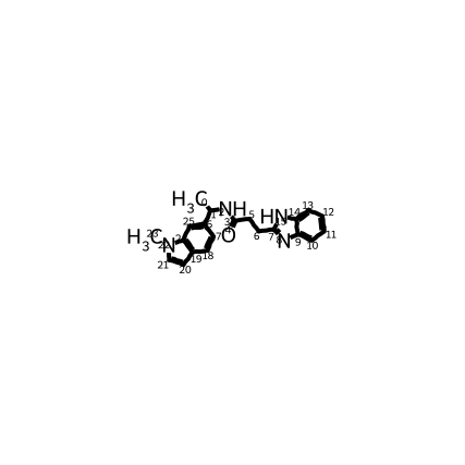 CC(NC(=O)CCc1nc2ccccc2[nH]1)c1ccc2ccn(C)c2c1